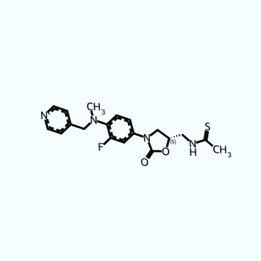 CC(=S)NC[C@H]1CN(c2ccc(N(C)Cc3ccncc3)c(F)c2)C(=O)O1